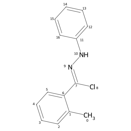 Cc1ccccc1C(Cl)=NNc1ccccc1